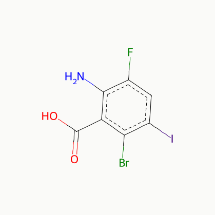 Nc1c(F)cc(I)c(Br)c1C(=O)O